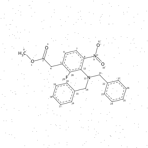 COC(=O)Cc1ccc([N+](=O)[O-])c(N(Cc2ccccc2)Cc2ccccc2)c1F